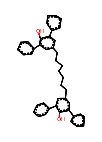 Oc1c(-c2ccccc2)cc(CCCCCCCc2cc(-c3ccccc3)c(O)c(-c3ccccc3)c2)cc1-c1ccccc1